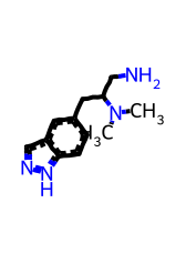 CN(C)C(CN)Cc1ccc2[nH]ncc2c1